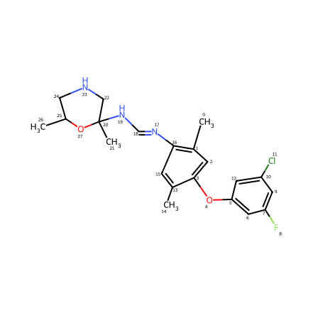 Cc1cc(Oc2cc(F)cc(Cl)c2)c(C)cc1/N=C/NC1(C)CNCC(C)O1